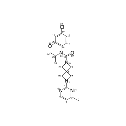 Cc1ccnc(N2CC3(CN(C(=O)N4c5ccc(Cl)cc5OCC4C)C3)C2)n1